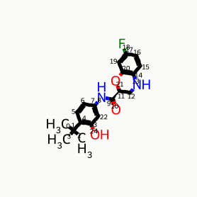 CC(C)(C)c1ccc(NC(=O)[C@@H]2CNc3ccc(F)cc3O2)cc1O